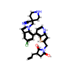 C=CCC1CC(=O)N(Cc2cc3nccc(-c4cc(Cl)cc5ccn(CC6(C#N)CCNCC6)c45)c3s2)C1=O